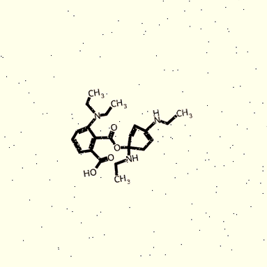 CCNC1=CCC(NCC)(OC(=O)c2c(C(=O)O)cccc2N(CC)CC)C=C1